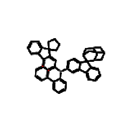 c1ccc(-c2ccccc2N(c2ccc3c(c2)-c2ccccc2C32C3CC4CC(C3)CC2C4)c2ccc3c(c2)C2(CCCC2)c2ccccc2-3)cc1